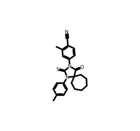 Cc1ccc(N2C(=S)N(c3ccc(C#N)c(C)c3)C(=O)C23CCCCCC3)cc1